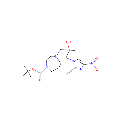 CC(O)(CN1CCCN(C(=O)OC(C)(C)C)CC1)Cn1cc([N+](=O)[O-])nc1Cl